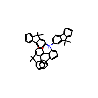 CC1(C)c2ccccc2-c2ccc(N(c3ccc4c(c3)C(C)(C)c3ccccc3-4)c3cccc(-c4ccccc4)c3-c3cccc4c3-c3ccccc3C4(C)C)cc21